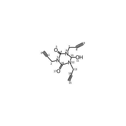 C#CCN1C(=O)N(CC#C)C(O)N(CC#C)C1=O